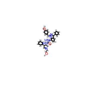 COCCN1C[C@H](NC(=O)Nc2cccc3c(-c4ccccc4)nn(Cc4ccc(OC)cc4)c23)[C@@H](c2ccccc2)C1